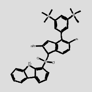 CCCC1=Cc2c(ccc(C(C)C)c2-c2cc([Si](C)(C)C)cc([Si](C)(C)C)c2)[CH]1[Zr]([Cl])([Cl])[c]1cccc2c1[SiH2]c1ccccc1-2